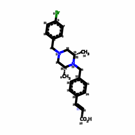 C[C@@H]1CN(Cc2ccc(Br)cc2)C[C@H](C)N1Cc1ccc(/C=C/C(=O)O)cc1